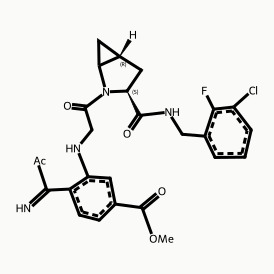 COC(=O)c1ccc(C(=N)C(C)=O)c(NCC(=O)N2C3C[C@@H]3C[C@H]2C(=O)NCc2cccc(Cl)c2F)c1